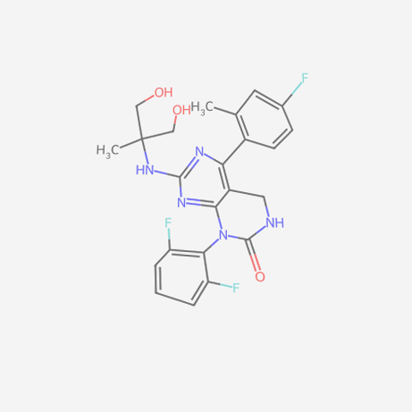 Cc1cc(F)ccc1-c1nc(NC(C)(CO)CO)nc2c1CNC(=O)N2c1c(F)cccc1F